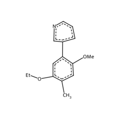 CCOc1cc(-c2cccnc2)c(OC)cc1C